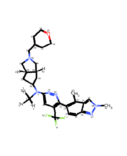 [2H]C([2H])([2H])N(c1cc(C(F)(F)F)c(-c2ccc3nn(C)cc3c2C)nn1)C1C[C@@H]2CN(CC3CCOCC3)C[C@@H]2C1